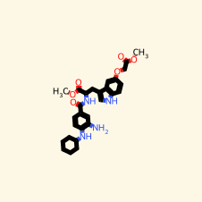 COC(=O)COc1ccc2[nH]cc(CC(NC(=O)c3ccc(NC4CCCCC4)c(N)c3)C(=O)OC)c2c1